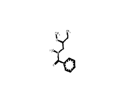 CCC(CN(C)C(=O)c1ccccc1)OC